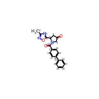 Cc1noc(C2CC(=O)CN2C(=O)c2ccc(-c3ccccc3)cc2)n1